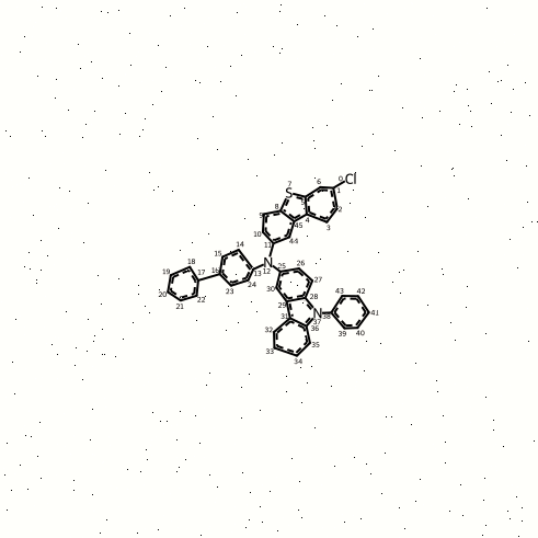 Clc1ccc2c(c1)sc1ccc(N(c3ccc(-c4ccccc4)cc3)c3ccc4c(c3)c3ccccc3n4-c3ccccc3)cc12